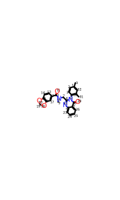 Cc1ccc(-n2c(CN(C)C(=O)c3ccc4c(c3)OCO4)nc3ccccc3c2=O)c(C)c1